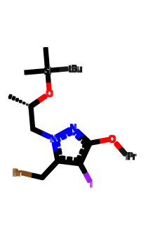 CC(C)Oc1nn(C[C@H](C)O[Si](C)(C)C(C)(C)C)c(CBr)c1I